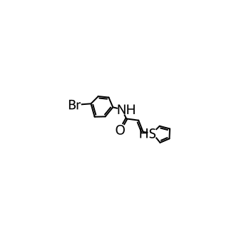 O=C(C=C[SH]1C=CC=C1)Nc1ccc(Br)cc1